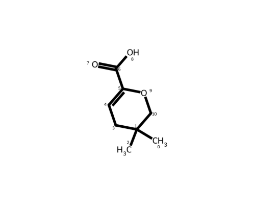 CC1(C)CC=C(C(=O)O)OC1